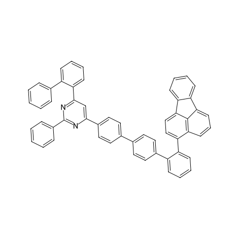 c1ccc(-c2nc(-c3ccc(-c4ccc(-c5ccccc5-c5ccc6c7c(cccc57)-c5ccccc5-6)cc4)cc3)cc(-c3ccccc3-c3ccccc3)n2)cc1